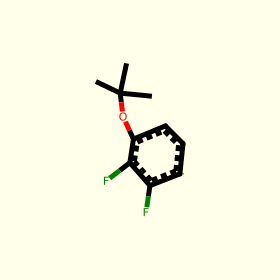 CC(C)(C)Oc1cc[c]c(F)c1F